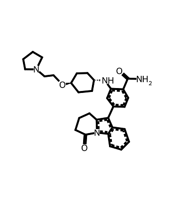 NC(=O)c1ccc(-c2c3n(c4ccccc24)C(=O)CCC3)cc1N[C@H]1CC[C@H](OCCN2CCCC2)CC1